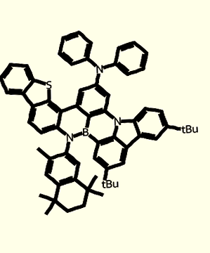 Cc1cc2c(cc1N1B3c4c(cc(N(c5ccccc5)c5ccccc5)cc4-n4c5ccc(C(C)(C)C)cc5c5cc(C(C)(C)C)cc3c54)-c3c1ccc1c3sc3ccccc31)C(C)(C)CCC2(C)C